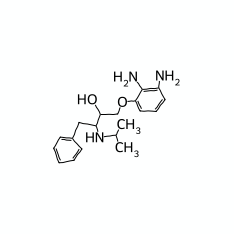 CC(C)NC(Cc1ccccc1)C(O)COc1cccc(N)c1N